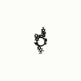 COC(=O)[C@H](C)Cc1cccc([C@@]2(C)CCCCC(C)(C)c3cn(nn3)Cc3c(c(F)cc4c3ccn4S(=O)(=O)c3ccc(C)cc3)C(OC3CCCCO3)c3ccnc(c3)-c3nc2nn3C)c1